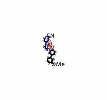 COc1cccc(-c2cccc(N3CCN([C@@H]4CCN(C#N)C4)S3(=O)=O)c2)c1